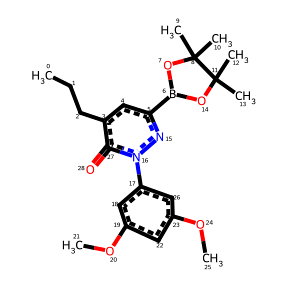 CCCc1cc(B2OC(C)(C)C(C)(C)O2)nn(-c2cc(OC)cc(OC)c2)c1=O